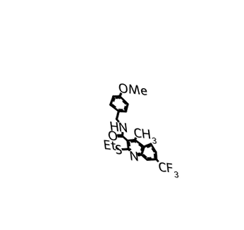 CCSc1nc2cc(C(F)(F)F)ccc2c(C)c1C(=O)NCc1ccc(OC)cc1